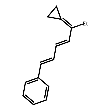 CCC(C=CC=Cc1ccccc1)=C1CC1